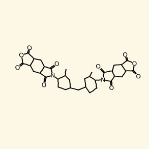 CC1CC(CC2CCC(N3C(=O)C4CC5C(=O)OC(=O)C5CC4C3=O)C(C)C2)CCC1N1C(=O)C2CC3C(=O)OC(=O)C3CC2C1=O